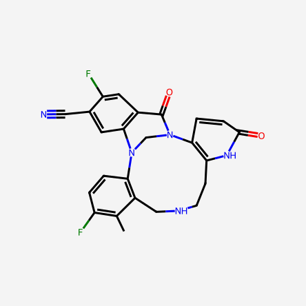 Cc1c(F)ccc2c1CNCCc1[nH]c(=O)ccc1N1CN2c2cc(C#N)c(F)cc2C1=O